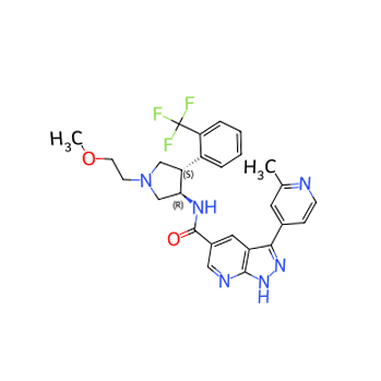 COCCN1C[C@H](NC(=O)c2cnc3[nH]nc(-c4ccnc(C)c4)c3c2)[C@@H](c2ccccc2C(F)(F)F)C1